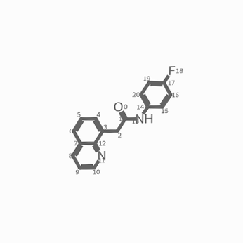 O=C(Cc1cccc2cccnc12)Nc1ccc(F)cc1